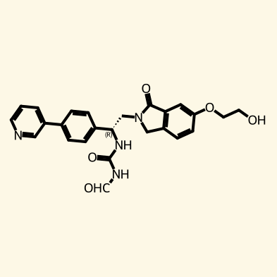 O=CNC(=O)N[C@@H](CN1Cc2ccc(OCCO)cc2C1=O)c1ccc(-c2cccnc2)cc1